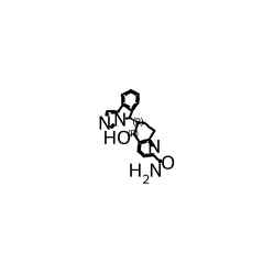 NC(=O)c1ccc2c(n1)CC[C@H](C1c3ccccc3-c3cncn31)[C@H]2O